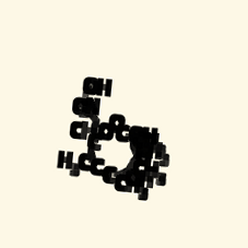 C/C1=C/C[C@@H](C(Cl)=Cc2coc(CO)n2)OC(=O)C[C@H](O)C(C)(C)C(=O)[C@H](C)[C@@H](O)[C@@H](C)CCC1